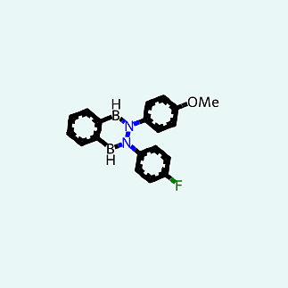 COc1ccc(N2Bc3ccccc3BN2c2ccc(F)cc2)cc1